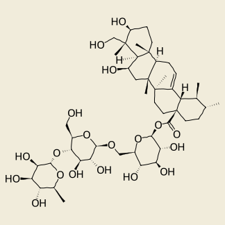 C[C@H]1[C@H](C)CC[C@]2(C(=O)O[C@@H]3O[C@H](CO[C@@H]4O[C@H](CO)[C@@H](O[C@@H]5O[C@@H](C)[C@H](O)[C@@H](O)[C@H]5O)[C@H](O)[C@H]4O)[C@@H](O)[C@H](O)[C@H]3O)CC[C@]3(C)C(=CC[C@@H]4[C@@]5(C)CC[C@H](O)[C@@](C)(CO)[C@@H]5[C@H](O)C[C@]43C)[C@H]12